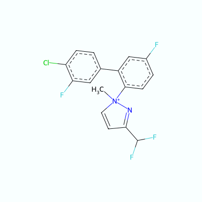 C[N+]1(c2ccc(F)cc2-c2ccc(Cl)c(F)c2)C=CC(C(F)F)=N1